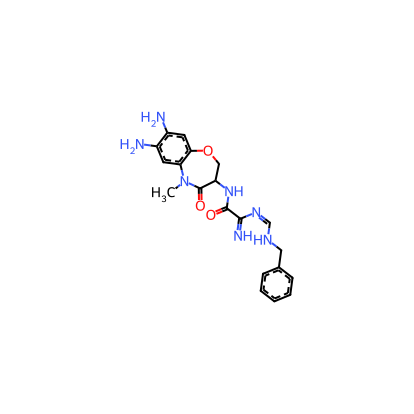 CN1C(=O)C(NC(=O)C(=N)/N=C\NCc2ccccc2)COc2cc(N)c(N)cc21